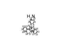 NCc1ccc(CN(Cc2ccccn2)C2CCCc3ccccc32)cc1